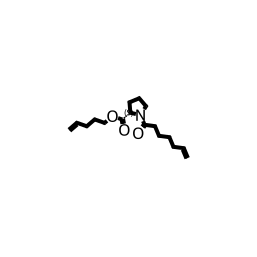 C=CCCCCC(=O)N1CCC[C@H]1C(=O)OCCCC=C